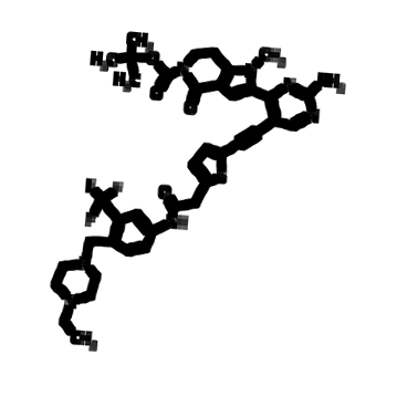 CCN1CCN(Cc2ccc(NC(=O)Cc3ccc(C#Cc4cnc(N)nc4-c4cc5c(n4C)CCN(C(=O)OC(C)(C)C)C5=O)s3)cc2C(F)(F)F)CC1